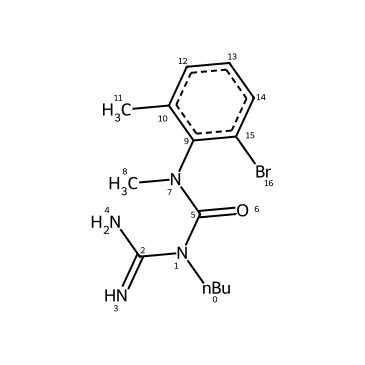 CCCCN(C(=N)N)C(=O)N(C)c1c(C)cccc1Br